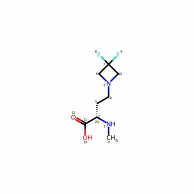 CN[C@@H](CCN1CC(F)(F)C1)C(=O)O